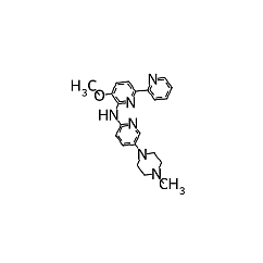 COc1ccc(-c2ccccn2)nc1Nc1ccc(N2CCN(C)CC2)cn1